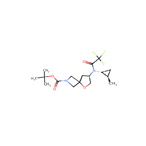 C[C@@H]1C[C@H]1N(C(=O)C(F)(F)F)C1COC2(C1)CN(C(=O)OC(C)(C)C)C2